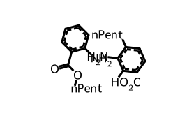 CCCCCOC(=O)c1ccccc1N.CCCCCc1cccc(C(=O)O)c1N